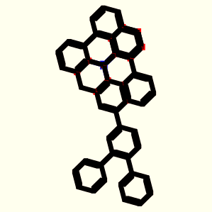 c1ccc(-c2ccc(-c3ccc(N(c4ccccc4-c4ccccc4)c4ccccc4-c4cccc5cccc(C6CCCCC6)c45)cc3)cc2-c2ccccc2)cc1